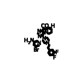 Nc1cncc(Br)c1.O=C(O)c1c2n(c3c(N4CCN(CCc5ccc(F)c(F)c5)CC4)ncnc13)CCCC2